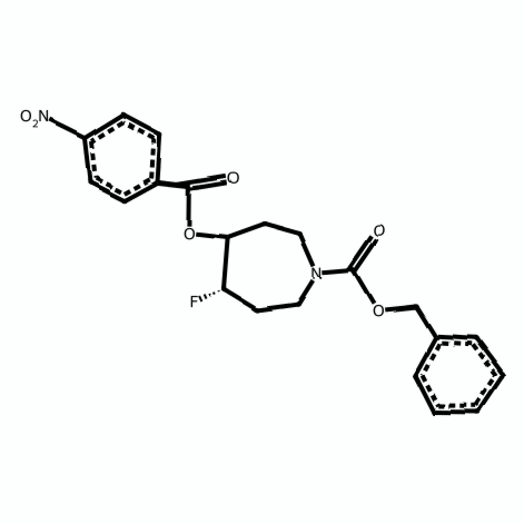 O=C(OC1CCN(C(=O)OCc2ccccc2)CC[C@@H]1F)c1ccc([N+](=O)[O-])cc1